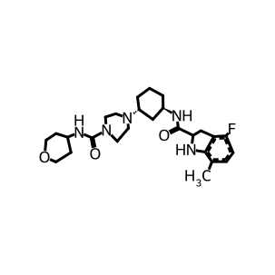 Cc1ccc(F)c2c1NC(C(=O)N[C@@H]1CCC[C@@H](N3CCN(C(=O)NC4CCOCC4)CC3)C1)C2